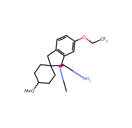 COC1CCC2(CC1)Cc1ccc(OCC(F)(F)F)cc1[C@]21N=C(N)N(C)O1